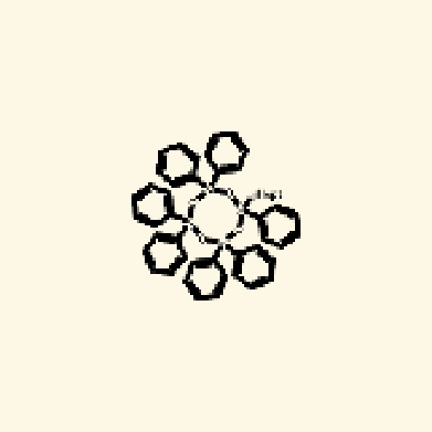 [CH2]CCCCCC[Si]1(c2ccccc2)O[Si](c2ccccc2)(c2ccccc2)O[Si](c2ccccc2)(c2ccccc2)O[Si](c2ccccc2)(c2ccccc2)O1